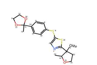 COC1(c2ncc(Sc3ccc(C4(C)OCCO4)cc3)s2)CCOC1C